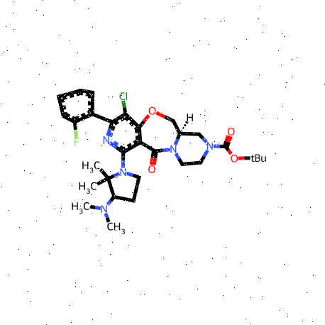 CN(C)C1CCN(c2nc(-c3ccccc3F)c(Cl)c3c2C(=O)N2CCN(C(=O)OC(C)(C)C)C[C@@H]2CO3)C1(C)C